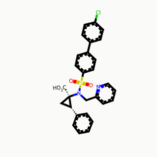 O=C(O)[C@@]1(N(Cc2ccccn2)S(=O)(=O)c2ccc(-c3ccc(Cl)cc3)cc2)C[C@H]1c1ccccc1